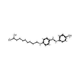 CCC(O)CCCCCCCCOc1ccc(/N=N/c2ccc(O)cc2)cc1